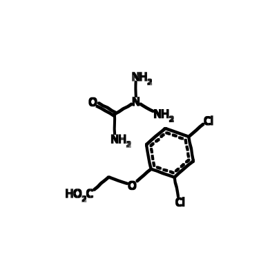 NC(=O)N(N)N.O=C(O)COc1ccc(Cl)cc1Cl